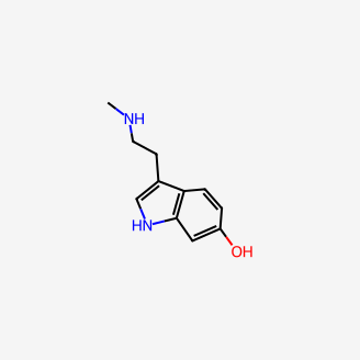 CNCCc1c[nH]c2cc(O)ccc12